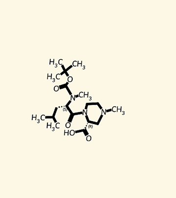 CC(C)C[C@@H](C(=O)N1CCN(C)C[C@@H]1C(=O)O)N(C)C(=O)OC(C)(C)C